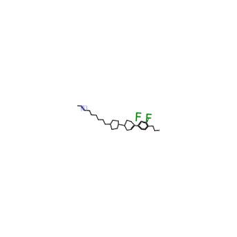 C/C=C/CCCCCCC1CCC(C2CC=C(c3ccc(CCC)c(F)c3F)CC2)CC1